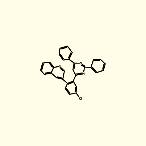 Clc1ccc(-c2cnc3ccccc3c2)c(-c2nc(-c3ccccc3)nc(-c3ccccc3)n2)c1